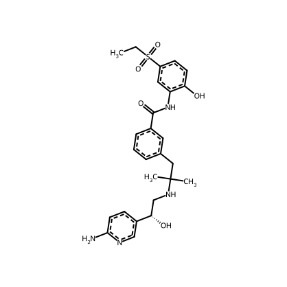 CCS(=O)(=O)c1ccc(O)c(NC(=O)c2cccc(CC(C)(C)NC[C@H](O)c3ccc(N)nc3)c2)c1